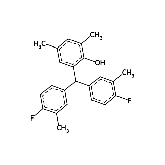 Cc1cc(C)c(O)c(C(c2ccc(F)c(C)c2)c2ccc(F)c(C)c2)c1